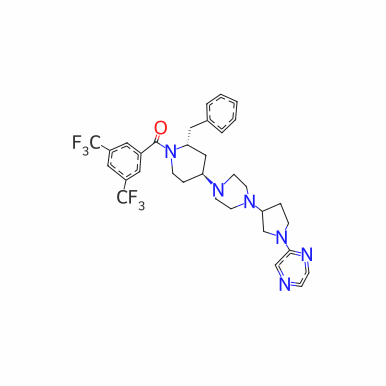 O=C(c1cc(C(F)(F)F)cc(C(F)(F)F)c1)N1CC[C@H](N2CCN(C3CCN(c4cnccn4)C3)CC2)C[C@H]1Cc1ccccc1